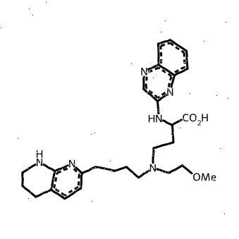 COCCN(CCCCc1ccc2c(n1)NCCC2)CCC(Nc1cnc2ccccc2n1)C(=O)O